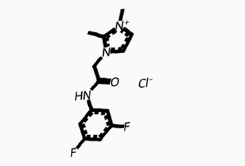 Cc1n(CC(=O)Nc2cc(F)cc(F)c2)cc[n+]1C.[Cl-]